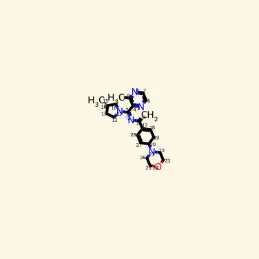 C=C(/N=C(\c1nccnc1C)N1CC[C@H](C)C1)C1=CCC(N2CCOCC2)C=C1